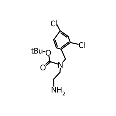 CC(C)(C)OC(=O)N(CCN)Cc1ccc(Cl)cc1Cl